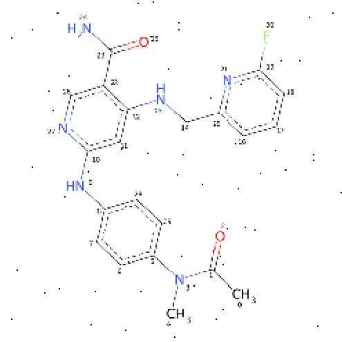 CC(=O)N(C)c1ccc(Nc2cc(NCc3cccc(F)n3)c(C(N)=O)cn2)cc1